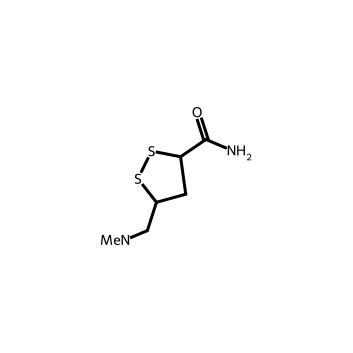 CNCC1CC(C(N)=O)SS1